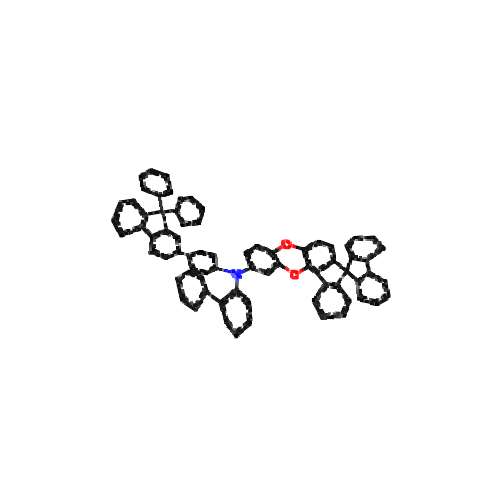 c1ccc(-c2ccccc2N(c2ccc(-c3ccc4c(c3)C(c3ccccc3)(c3ccccc3)c3ccccc3-4)cc2)c2ccc3c(c2)Oc2c(ccc4c2-c2ccccc2C42c4ccccc4-c4ccccc42)O3)cc1